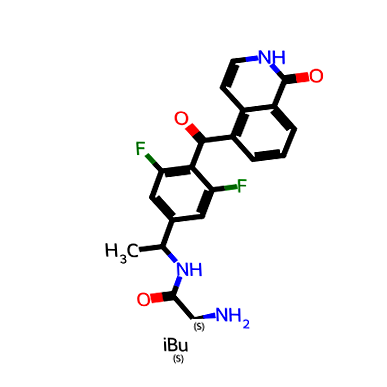 CC[C@H](C)[C@H](N)C(=O)NC(C)c1cc(F)c(C(=O)c2cccc3c(=O)[nH]ccc23)c(F)c1